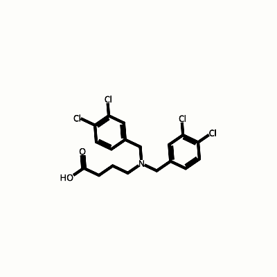 O=C(O)CCCN(Cc1ccc(Cl)c(Cl)c1)Cc1ccc(Cl)c(Cl)c1